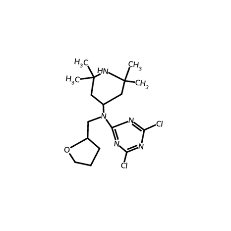 CC1(C)CC(N(CC2CCCO2)c2nc(Cl)nc(Cl)n2)CC(C)(C)N1